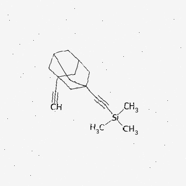 C#CC12CC3CC(C1)CC(C#C[Si](C)(C)C)(C3)C2